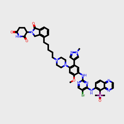 COc1cc(N2CCN(CCCCCc3cccc4c3CN(C3CCC(=O)NC3=O)C4=O)CC2)c(-c2cnn(C)c2)cc1Nc1ncc(Br)c(Nc2ccc3nccnc3c2P(C)(C)=O)n1